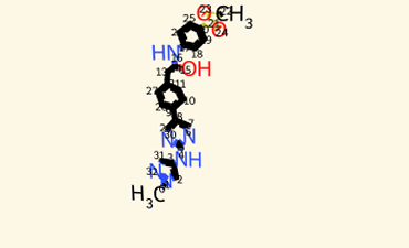 Cn1cc(Nc2ncc(-c3ccc(CC(O)Nc4ccc(S(C)(=O)=O)cc4)cc3)cn2)cn1